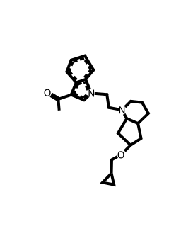 CC(=O)c1cn(CCN2CCCC3CC(OCC4CC4)CC32)c2ccccc12